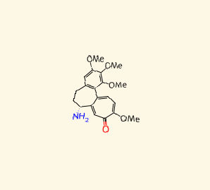 COc1cc2c(c(OC)c1OC)-c1ccc(OC)c(=O)cc1[C@H](N)CC2